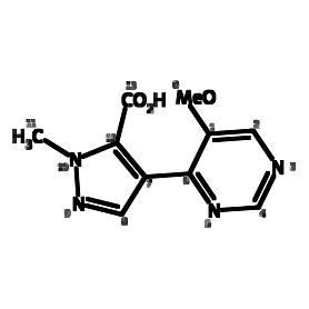 COc1cncnc1-c1cnn(C)c1C(=O)O